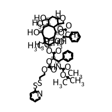 CC(=O)O[C@@]12CO[C@@H]1C[C@H](O)[C@@]1(C)C(=O)[C@H](O)C3=C(C)[C@@H](OC(=O)[C@H](OC(=O)OCCSSc4ccccn4)[C@@H](NC(=O)OC(C)(C)C)c4ccccc4)C[C@@](O)([C@@H](OC(=O)c4ccccc4)C12)C3(C)C